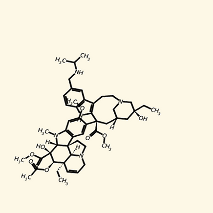 CC[C@]1(O)C[C@H]2CN(CCc3c([nH]c4ccc(CNC(C)C)cc34)[C@@](C(=O)OC)(c3cc4c(cc3OC)N(C)[C@H]3[C@@](O)(C(=O)OC)[C@H](OC(C)=O)[C@]5(CC)C=CCN6CC[C@]43[C@@H]65)C2)C1